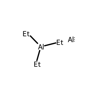 C[CH2][Al]([CH2]C)[CH2]C.[Al]